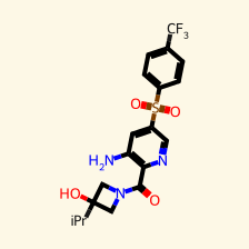 CC(C)C1(O)CN(C(=O)c2ncc(S(=O)(=O)c3ccc(C(F)(F)F)cc3)cc2N)C1